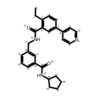 CCc1ccc(-c2ccncc2)cc1C(=O)NCc1cccc(C(=O)NC2CCCC2)c1